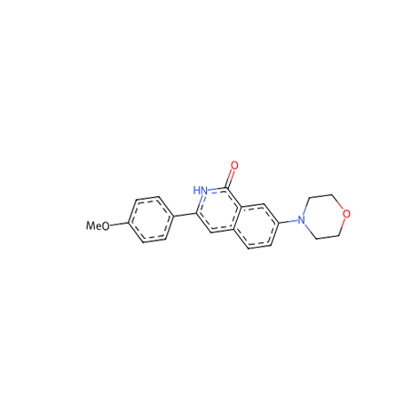 COc1ccc(-c2cc3ccc(N4CCOCC4)cc3c(=O)[nH]2)cc1